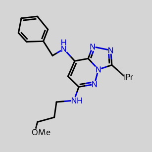 COCCCNc1cc(NCc2ccccc2)c2nnc(C(C)C)n2n1